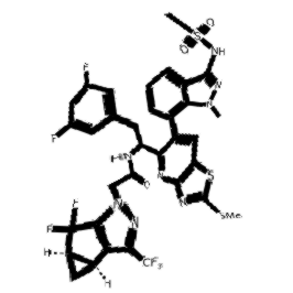 CSc1nc2nc(C(Cc3cc(F)cc(F)c3)NC(=O)Cn3nc(C(F)(F)F)c4c3C(F)(F)[C@@H]3C[C@H]43)c(-c3cccc4c(NS(C)(=O)=O)nn(C)c34)cc2s1